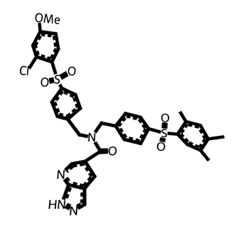 COc1ccc(S(=O)(=O)c2ccc(CN(Cc3ccc(S(=O)(=O)c4cc(C)c(C)cc4C)cc3)C(=O)c3cnc4[nH]ncc4c3)cc2)c(Cl)c1